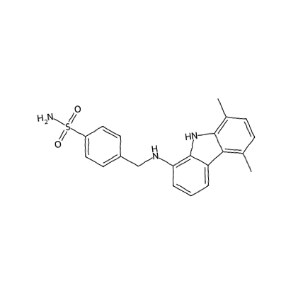 Cc1ccc(C)c2c1[nH]c1c(NCc3ccc(S(N)(=O)=O)cc3)cccc12